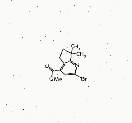 COC(=O)c1cc(Br)nc2c1CCC2(C)C